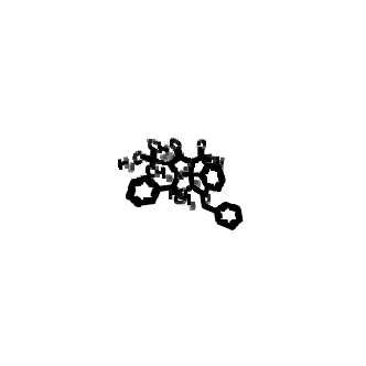 CC(c1ccccc1)N1[C@@H](C(C)(C)C)C(=O)N(C(=O)O)[C@]1(c1c(Cl)cccc1Cl)[C@H](O)CCc1ccccc1